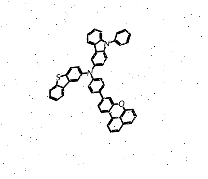 c1ccc(-n2c3ccccc3c3cc(N(c4ccc(-c5ccc6c(c5)Oc5cccc7cccc-6c57)cc4)c4ccc5sc6ccccc6c5c4)ccc32)cc1